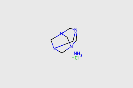 C1N2CN3CN1CN(C2)C3.Cl.N